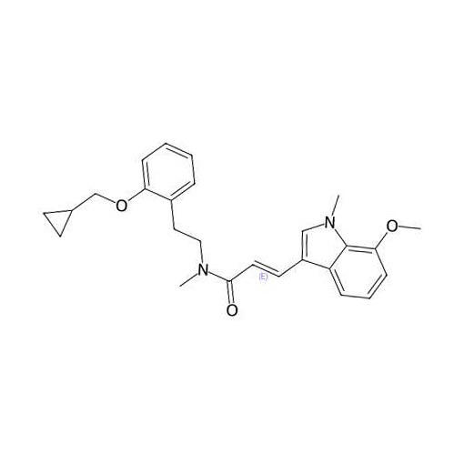 COc1cccc2c(/C=C/C(=O)N(C)CCc3ccccc3OCC3CC3)cn(C)c12